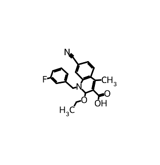 CCOC1C(C(=O)O)=C(C)c2ccc(C#N)cc2N1Cc1cccc(F)c1